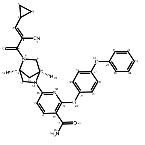 N#C/C(=C\C1CC1)C(=O)N1C[C@@H]2C[C@H]1CN2c1ccc(C(N)=O)c(Oc2ccc(Oc3ccccc3)cc2)n1